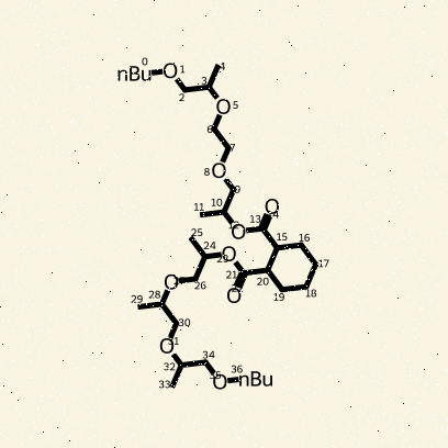 CCCCOCC(C)OCCOCC(C)OC(=O)C1CCCCC1C(=O)OC(C)COC(C)COC(C)COCCCC